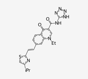 CCn1cc(C(=O)Nc2nnn[nH]2)c(=O)c2ccc(C=Cc3nc(C(C)C)cs3)cc21